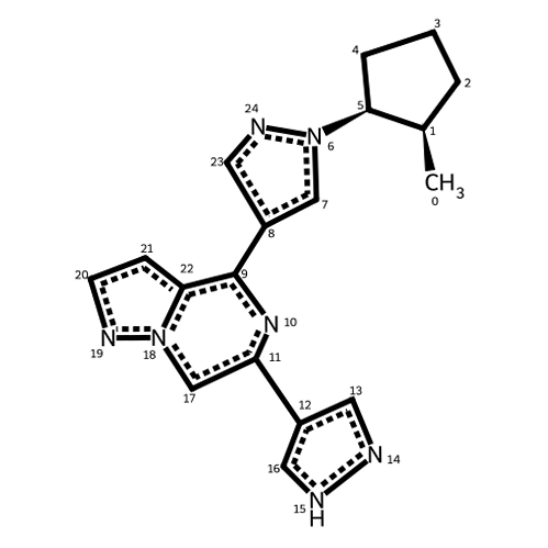 C[C@@H]1CCC[C@@H]1n1cc(-c2nc(-c3cn[nH]c3)cn3nccc23)cn1